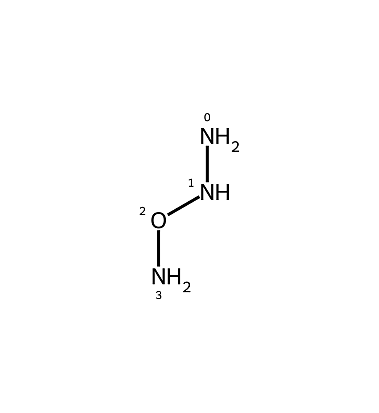 NNON